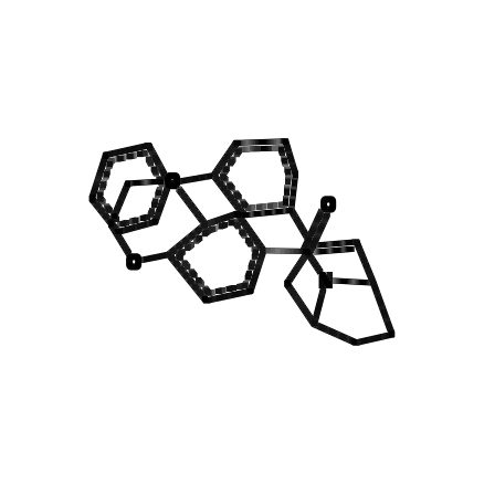 O=C(c1ccc2c(c1)OCCO2)N1C2C=C(c3cccc(-c4ccccc4)c3)CC1CC2